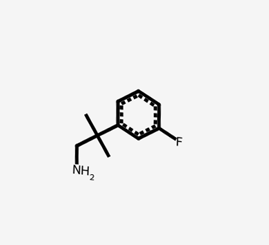 CC(C)(CN)c1cccc(F)c1